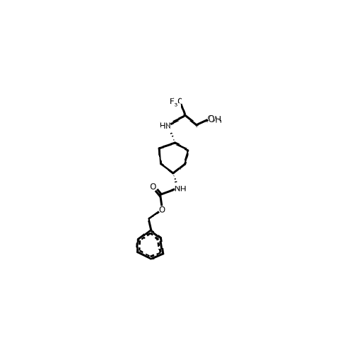 O=C(N[C@H]1CC[C@@H](NC(CO)C(F)(F)F)CC1)OCc1ccccc1